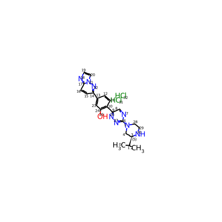 CC(C)[C@H]1CN(c2ncc(-c3ccc(-c4ccc5nccn5n4)cc3O)nn2)CCN1.Cl.Cl